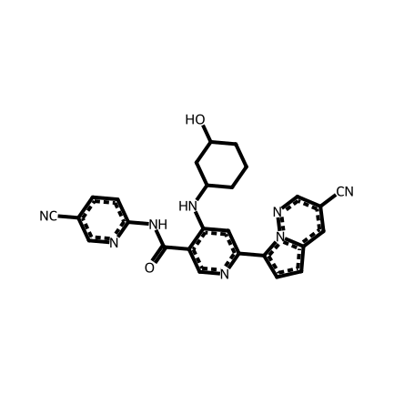 N#Cc1ccc(NC(=O)c2cnc(-c3ccc4cc(C#N)cnn34)cc2NC2CCCC(O)C2)nc1